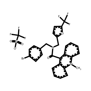 C[n+]1c2ccccc2c(C(=O)N(Cc2ccc(Br)cc2)Cc2ccc(C(F)(F)F)o2)c2ccccc21.O=S(=O)([O-])C(F)(F)F